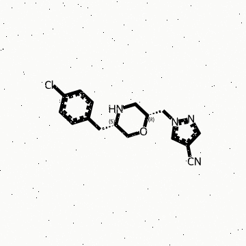 N#Cc1cnn(C[C@H]2CN[C@@H](Cc3ccc(Cl)cc3)CO2)c1